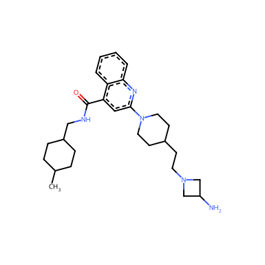 CC1CCC(CNC(=O)c2cc(N3CCC(CCN4CC(N)C4)CC3)nc3ccccc23)CC1